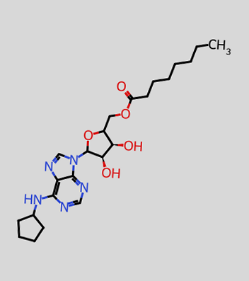 CCCCCCCC(=O)OCC1OC(n2cnc3c(NC4CCCC4)ncnc32)[C@H](O)[C@@H]1O